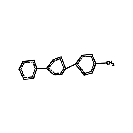 Cc1ccc(-c2ccc(-c3ccccc3)cc2)cc1